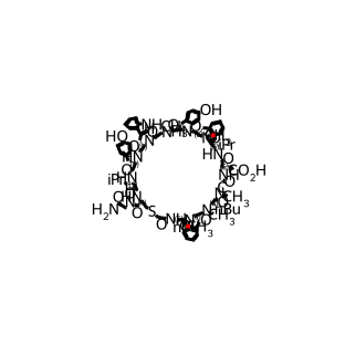 CCCC[C@@H]1NC(=O)CSC[C@@H](C(=O)NCC(N)=O)NC(=O)[C@H](CC(C)C)NC(=O)[C@H](Cc2ccc(O)cc2)NC(=O)[C@H](Cc2c[nH]c3ccccc23)NC(=O)CN(C)C(=O)[C@H](Cc2ccc(O)cc2)NC(=O)[C@H](Cc2ccccc2)N(C)C(=O)[C@H](C(C)C)NC(=O)[C@H](CC(=O)O)NC(=O)CN(C)C(=O)[C@H](CCCC)N(C)C(=O)[C@H](Cc2ccccc2)N(C)C1=O